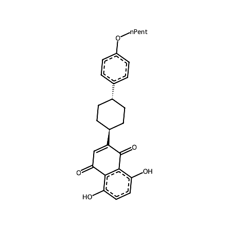 CCCCCOc1ccc([C@H]2CC[C@H](C3=CC(=O)c4c(O)ccc(O)c4C3=O)CC2)cc1